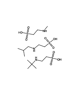 CC(C)(C)NCCS(=O)(=O)O.CC(C)CNCCS(=O)(=O)O.CNCCS(=O)(=O)O